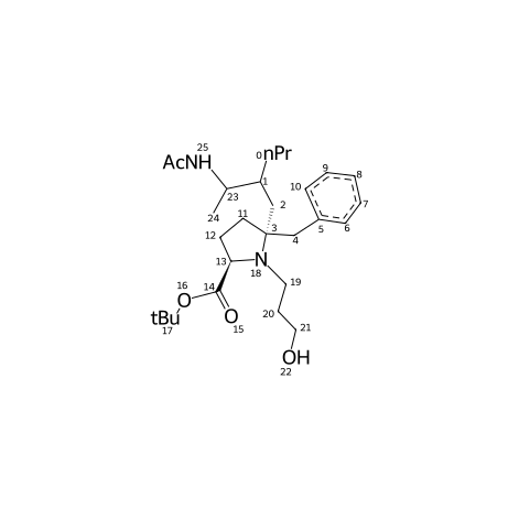 CCCC(C[C@@]1(Cc2ccccc2)CC[C@H](C(=O)OC(C)(C)C)N1CCCO)C(C)NC(C)=O